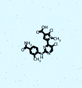 Cc1cc(C(N)=O)ccc1Nc1ncc(Cl)c(-c2cc(C(=O)O)c(Cl)n2C)n1